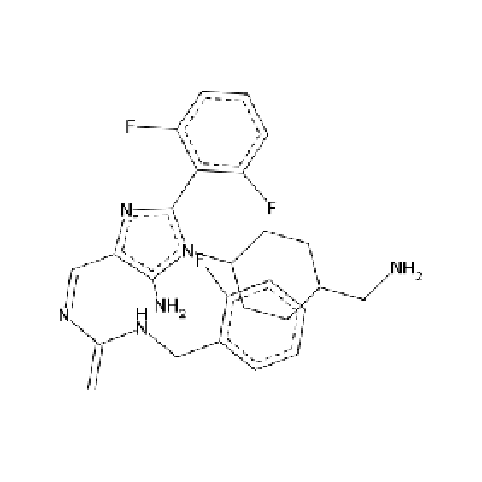 C=C(/N=C\c1nc(-c2c(F)cccc2F)n(C2CCC(CN)CC2)c1N)NCc1ccccc1F